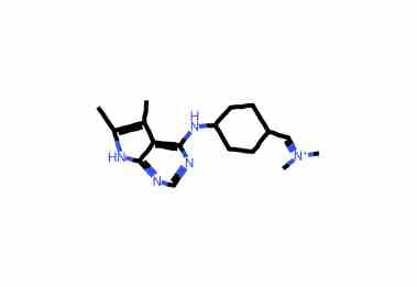 Cc1[nH]c2ncnc(NC3CCC(C=[N+](C)C)CC3)c2c1C